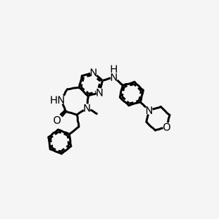 CN1c2nc(Nc3ccc(N4CCOCC4)cc3)ncc2CNC(=O)C1Cc1ccccc1